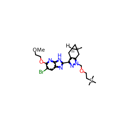 COCCOc1nc2[nH]c(-c3nn(COCC[Si](C)(C)C)c4c3C[C@@H]3C[C@]3(C)C4)nc2cc1Br